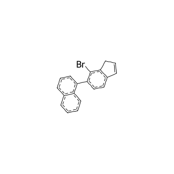 Brc1c(-c2cccc3ccccc23)ccc2c1CC=C2